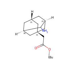 CC(C)(C)OC(=O)C[C@]12C[C@@H]3C[C@H](C1)C(N)[C@@H](C3)C2